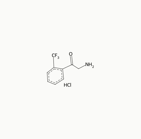 Cl.NCC(=O)c1ccccc1C(F)(F)F